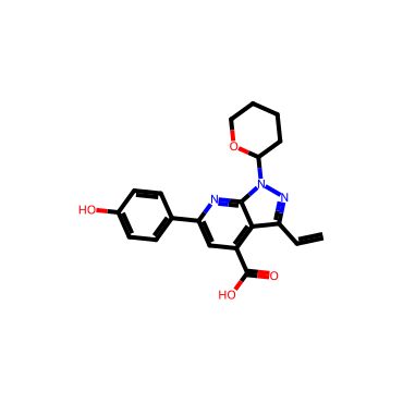 C=Cc1nn(C2CCCCO2)c2nc(-c3ccc(O)cc3)cc(C(=O)O)c12